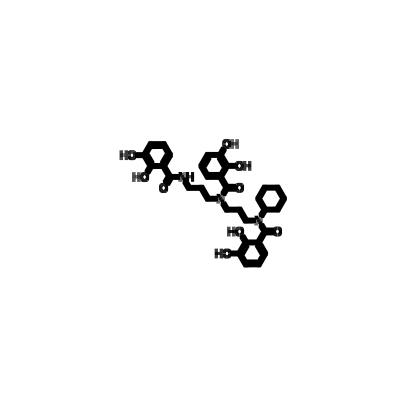 O=C(NCCCN(CCCN(C(=O)c1cccc(O)c1O)C1CCCCC1)C(=O)c1cccc(O)c1O)c1cccc(O)c1O